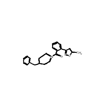 CC1CC(c2ccccc2C(=O)N2CCC(Cc3ccccc3)CC2)=NO1